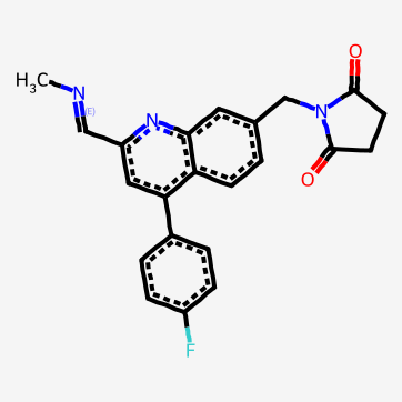 C/N=C/c1cc(-c2ccc(F)cc2)c2ccc(CN3C(=O)CCC3=O)cc2n1